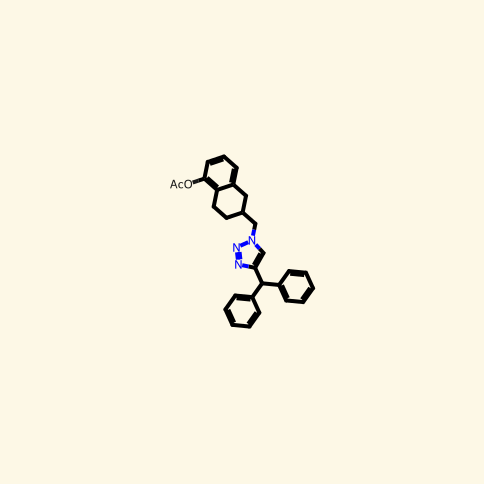 CC(=O)Oc1cccc2c1CCC(Cn1cc(C(c3ccccc3)c3ccccc3)nn1)C2